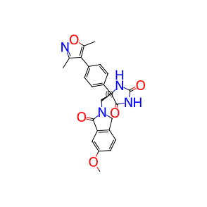 COc1ccc2c(c1)C(=O)N(C[C@@]1(c3ccc(-c4c(C)noc4C)cc3)NC(=O)NC1=O)C2